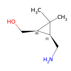 CC1(C)[C@H](CO)[C@@H]1CN